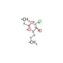 CCCC(OC(=O)CC)C(=O)CCl